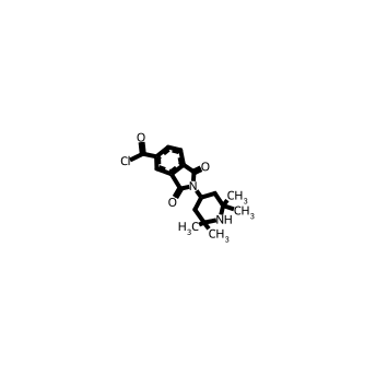 CC1(C)CC(N2C(=O)c3ccc(C(=O)Cl)cc3C2=O)CC(C)(C)N1